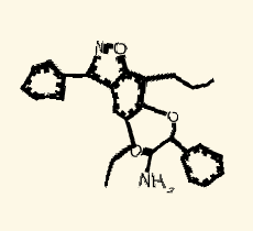 CCCc1cc2c(-c3ccccc3)noc2c(CCC)c1OC(C(N)=O)c1ccccc1